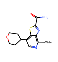 COc1ncc(C2CCOCC2)c2sc(C(N)=O)nc12